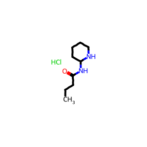 CCCC(=O)NC1CCCCN1.Cl